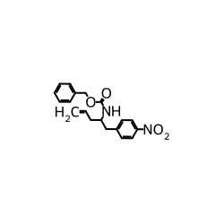 C=CCC(Cc1ccc([N+](=O)[O-])cc1)NC(=O)OCc1ccccc1